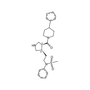 CS(=O)(=O)N(CC[C@H]1CNC[C@H]1C(=O)N1CCC(c2ccccc2)CC1)c1ccccc1